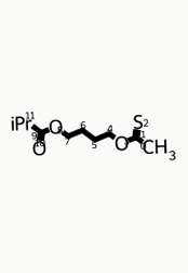 CC(=S)OCCCCOC(=O)C(C)C